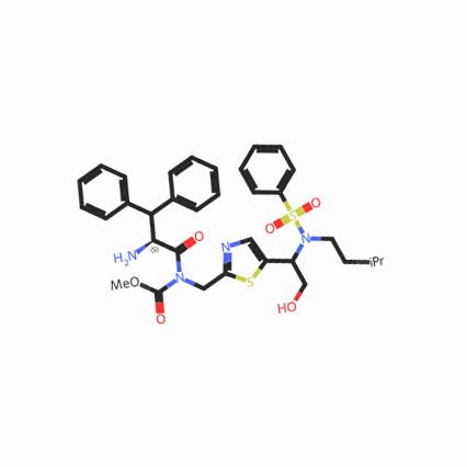 COC(=O)N(Cc1ncc(C(CO)N(CCC(C)C)S(=O)(=O)c2ccccc2)s1)C(=O)[C@@H](N)C(c1ccccc1)c1ccccc1